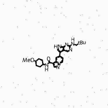 COC1CCC(NC(=O)c2cnn3ccc(-c4c[nH]c5nc(NCC(C)(C)C)ncc45)cc23)CC1